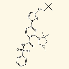 C[C@@H]1CN(c2nc(-n3ccc(OCC(C)(C)C)n3)ccc2C(=O)NS(=O)(=O)c2ccccc2)C(C)(C)C1